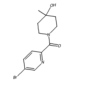 CC1(O)CCN(C(=O)c2ccc(Br)cn2)CC1